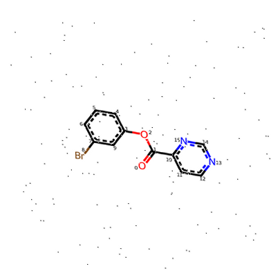 O=C(Oc1cccc(Br)c1)c1ccncn1